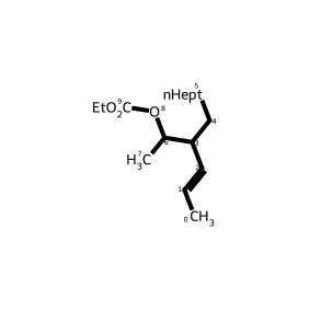 CC=CC(CCCCCCCC)C(C)OC(=O)OCC